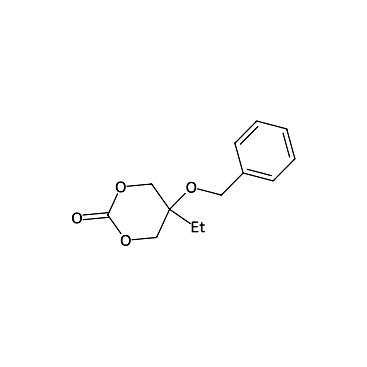 CCC1(OCc2ccccc2)COC(=O)OC1